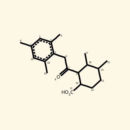 Cc1cc(C)c(CC(=O)C2C(C(=O)O)CCC(C)C2C)c(C)c1